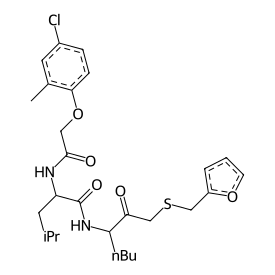 CCCCC(NC(=O)C(CC(C)C)NC(=O)COc1ccc(Cl)cc1C)C(=O)CSCc1ccco1